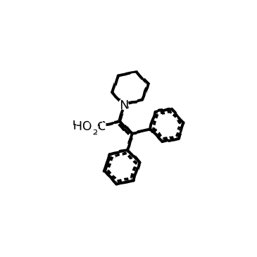 O=C(O)C(=C(c1ccccc1)c1ccccc1)N1CCCCC1